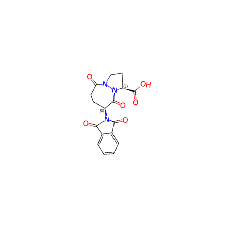 O=C(O)[C@@H]1CCN2C(=O)CC[C@H](N3C(=O)c4ccccc4C3=O)C(=O)N12